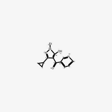 CCn1nc(C2CC2)c(C(=O)c2cccnc2)c1O